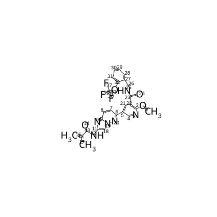 COc1ncc(-c2ccc3nc(NC(=O)C(C)C)cn3n2)cc1C(=O)NCc1ccccc1OC(F)(F)F